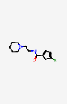 O=C(NCCN1CCCCC1)C1=CC=C(Br)C1